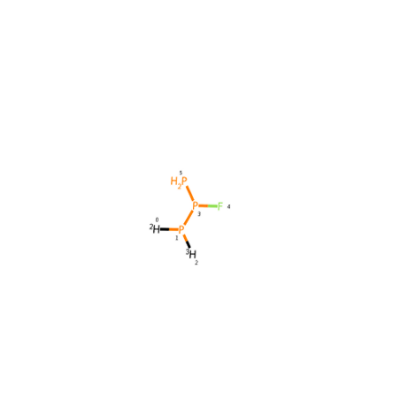 [2H]P([3H])P(F)P